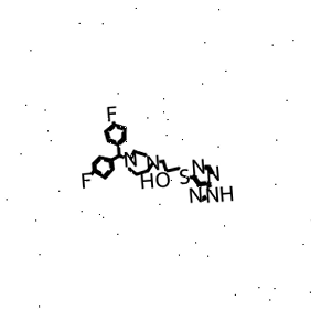 OC(CSc1ncnc2[nH]cnc12)CN1CCCN(C(c2ccc(F)cc2)c2ccc(F)cc2)CC1